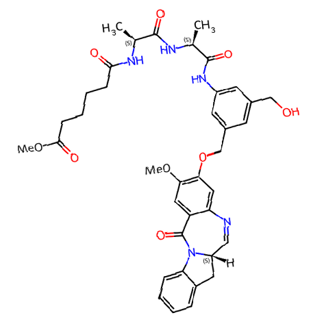 COC(=O)CCCCC(=O)N[C@@H](C)C(=O)N[C@@H](C)C(=O)Nc1cc(CO)cc(COc2cc3c(cc2OC)C(=O)N2c4ccccc4C[C@H]2C=N3)c1